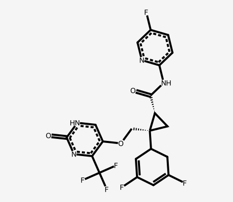 O=C(Nc1ccc(F)cn1)[C@@H]1C[C@@]1(COc1c[nH]c(=O)nc1C(F)(F)F)C1C=C(F)C=C(F)C1